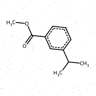 COC(=O)c1c[c]cc(C(C)C)c1